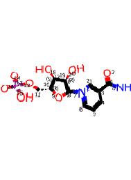 NC(=O)c1ccc[n+](C2O[C@H](COP(=O)(O)O)[C@@H](O)[C@H]2O)c1